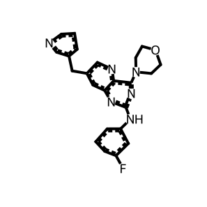 Fc1cccc(Nc2nc(N3CCOCC3)c3ncc(Cc4cccnc4)cc3n2)c1